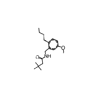 CCCCc1ccc(OC)cc1CNC(=O)CC(C)(C)C